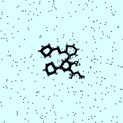 CC(C)C[C@@H](C)c1cc(-c2ccccc2)cc(N2CCCCC2C=Cc2ccccc2)c1C(F)(F)F